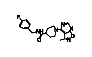 Cc1noc2ncnc(N3CCC(C(=O)NCc4ccc(F)cc4)CC3)c12